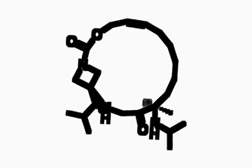 CC(C)N[C@]1(C)CCCCCC=CCOC(=O)N2CC(C(=O)C(C)C)(C2)NCC1=O